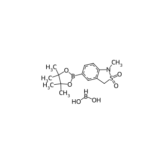 CN1c2ccc(B3OC(C)(C)C(C)(C)O3)cc2CS1(=O)=O.OBO